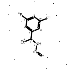 C=NNC(CC)c1cc(F)cc(F)c1